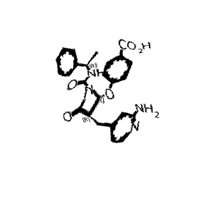 C[C@@H](NC(=O)N1C(=O)[C@H](Cc2ccnc(N)c2)[C@H]1Oc1ccc(C(=O)O)cc1)c1ccccc1